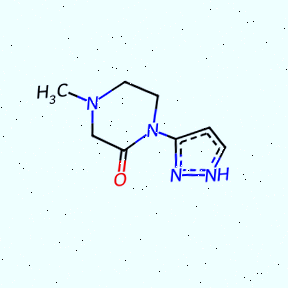 CN1CCN(c2cc[nH]n2)C(=O)C1